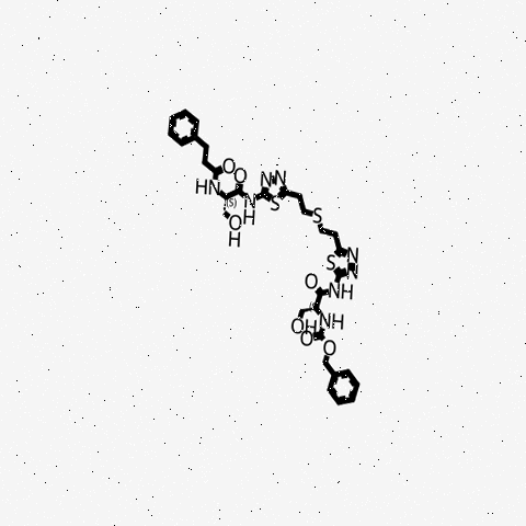 O=C(CCc1ccccc1)N[C@@H](CO)C(=O)Nc1nnc(CCSCCc2nnc(NC(=O)[C@H](CO)NC(=O)OCc3ccccc3)s2)s1